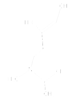 C/C=C(\C)CCN(C)C(C)C